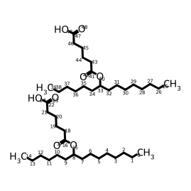 CCCCCCCCC(CCCCCC)OC(=O)CCCCC(=O)O.CCCCCCCCC(CCCCCC)OC(=O)CCCCC(=O)O